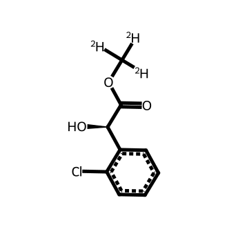 [2H]C([2H])([2H])OC(=O)[C@H](O)c1ccccc1Cl